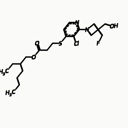 CCCCC(CC)COC(=O)CCSc1ccnc(N2CC(CO)(CF)C2)c1Cl